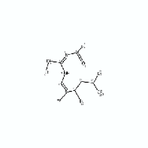 CCN/C(=N/C(=O)CC)N/C=C(/C)C(CC)CC(CC)C(F)(F)F